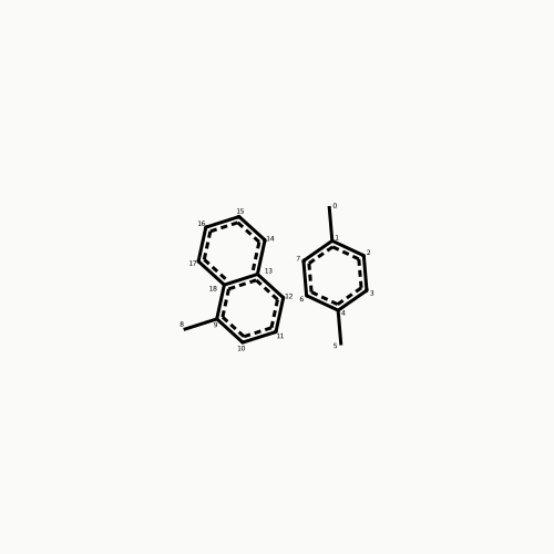 Cc1ccc(C)cc1.Cc1cccc2ccccc12